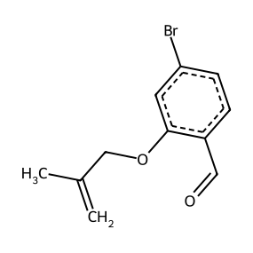 C=C(C)COc1cc(Br)ccc1C=O